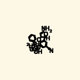 [2H]C([2H])(c1ccccc1)S(=O)(=O)O.[2H]C1(c2cccc(C#N)c2)OC(N)=CC1=O